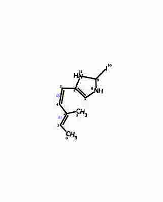 C/C=C(C)/C=C\C1=CNC(I)N1